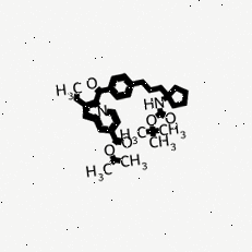 CCc1cc2cc(C(=O)OC(C)C)ccn2c1C(=O)c1ccc(CCCC2(NC(=O)OC(C)(C)C)CCCC2)cc1